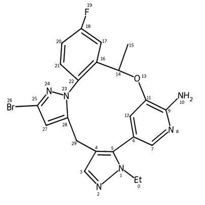 CCn1ncc2c1-c1cnc(N)c(c1)OC(C)c1cc(F)ccc1-n1nc(Br)cc1C2